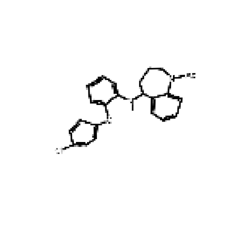 CC(=O)N1CCCC(Nc2ccccc2Oc2ccc(Cl)cc2)c2ccccc21